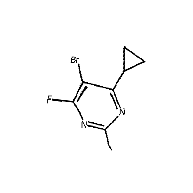 Cc1nc(F)c(Br)c(C2CC2)n1